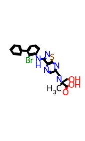 CC(CO)(N=Cc1cnc2c(Nc3cccc(-c4ccccc4)c3Br)nsc2n1)C(=O)O